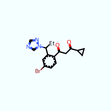 CCC(c1cc(Br)ccc1C(=O)CC(=O)C1CC1)n1cncn1